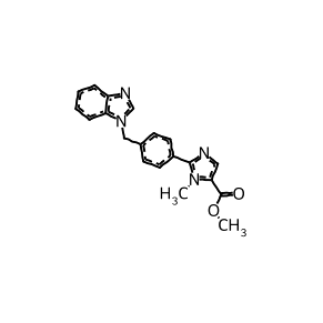 COC(=O)c1cnc(-c2ccc(Cn3cnc4ccccc43)cc2)n1C